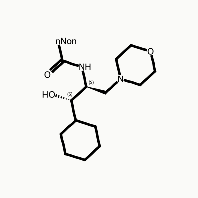 CCCCCCCCCC(=O)N[C@@H](CN1CCOCC1)[C@@H](O)C1CCCCC1